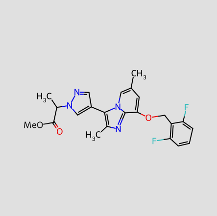 COC(=O)C(C)n1cc(-c2c(C)nc3c(OCc4c(F)cccc4F)cc(C)cn23)cn1